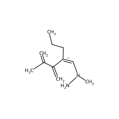 C=C(C)C(=C)/C(=C\N(C)N)CCC